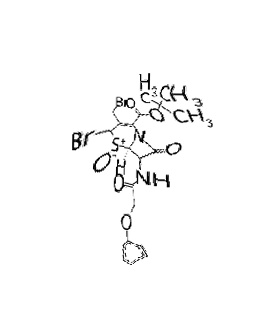 CC(C)(C)OC(=O)C1=C(CBr)C(Br)[S+]([O-])[C@@H]2C(NC(=O)COc3ccccc3)C(=O)N12